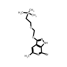 Cc1cc2c(OCOCC[Si](C)(C)C)n[nH]c2c(Br)n1